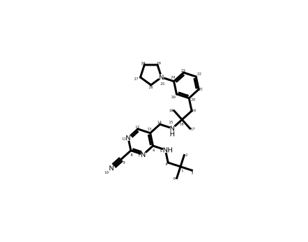 CC(C)(C)CNc1nc(C#N)ncc1CNC(C)(C)Cc1cccc(N2CCCC2)c1